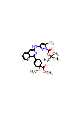 COC(=O)C1(OC)CC=C(c2nc(Nc3cc(C)n(C(=O)OC(C)(C)C)n3)cc3cccnc23)CC1